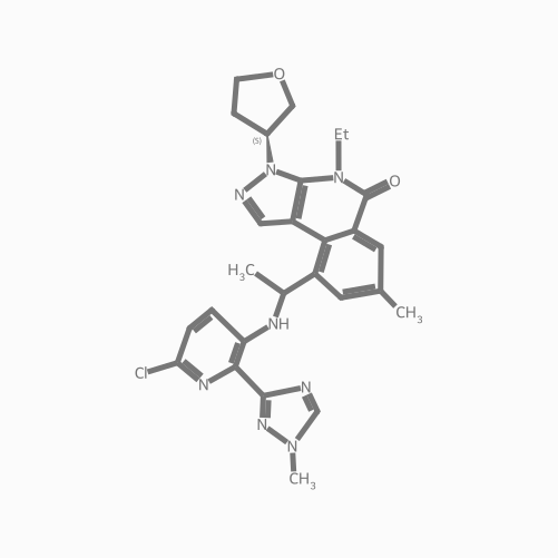 CCn1c(=O)c2cc(C)cc(C(C)Nc3ccc(Cl)nc3-c3ncn(C)n3)c2c2cnn([C@H]3CCOC3)c21